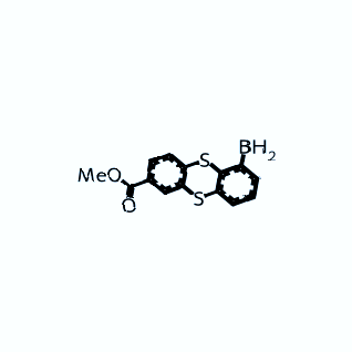 Bc1cccc2c1Sc1ccc(C(=O)OC)cc1S2